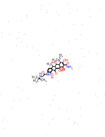 CC1c2ccc(NC(=O)CNC(C)(C)C)c(O)c2C(=O)C2=C(O)C3(O)C(=O)C(C(N)=O)=C(O)[C@@H](N(C)C)C3C(O)C21